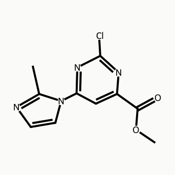 COC(=O)c1cc(-n2ccnc2C)nc(Cl)n1